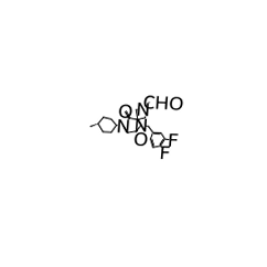 C[C@H]1CC[C@H](N2CC(=O)N(Cc3ccc(F)c(F)c3)C3(CN(C=O)C3)C2=O)CC1